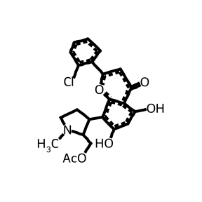 CC(=O)OCC1C(c2c(O)cc(O)c3c(=O)cc(-c4ccccc4Cl)oc23)CCN1C